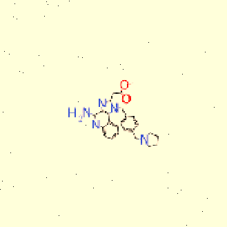 COC(=O)Cc1nc2c(N)nc3ccccc3c2n1Cc1ccc(CN2CCCC2)cc1